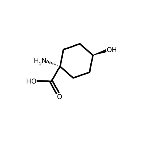 N[C@]1(C(=O)O)CC[C@@H](O)CC1